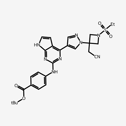 CCS(=O)(=O)N1CC(CC#N)(n2cc(-c3nc(Nc4ccc(C(=O)OC(C)(C)C)cc4)nc4[nH]ccc34)cn2)C1